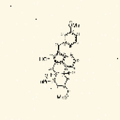 CCCN1CC(CSC)C[C@H]2c3cccc4c3c(cn4Cc3cccc(OC)c3)C[C@@H]21.Cl